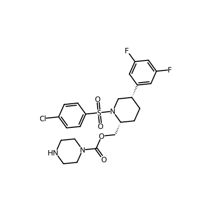 O=C(OC[C@H]1CC[C@@H](c2cc(F)cc(F)c2)CN1S(=O)(=O)c1ccc(Cl)cc1)N1CCNCC1